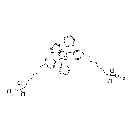 ClC(Cl)(Cl)C(Cl)(Cl)CCCCCCc1ccc(C(OC(c2ccccc2)(c2ccccc2)c2ccc(CCCCCCC(Cl)(Cl)C(Cl)(Cl)Cl)cc2)(c2ccccc2)c2ccccc2)cc1